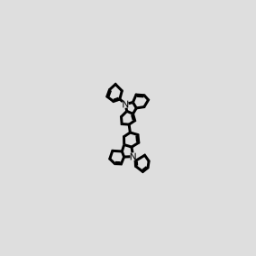 C1=CCCC(N2C3CCC(C4C=CC5C(C4)C4CCC=CC4N5C4=CC=CCC4)C=C3C3CCC=CC32)=C1